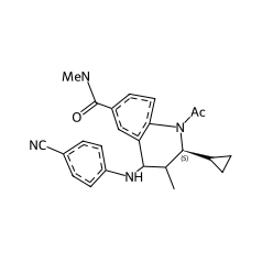 CNC(=O)c1ccc2c(c1)C(Nc1ccc(C#N)cc1)C(C)[C@H](C1CC1)N2C(C)=O